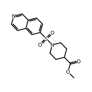 COC(=O)C1CCN(S(=O)(=O)c2ccc3cnccc3c2)CC1